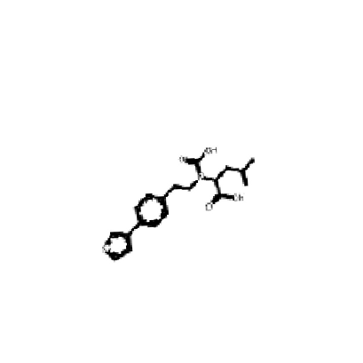 CC(C)CC(C(=O)O)N(CCc1ccc(-c2ccsc2)cc1)C(=O)O